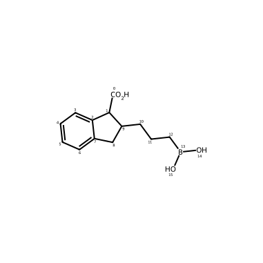 O=C(O)C1c2ccccc2CC1CCCB(O)O